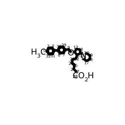 Cc1ccc(-c2ccc(COC3CCC(N4CCCCC4)C3CC/C=C/CCC(=O)O)cc2)cc1